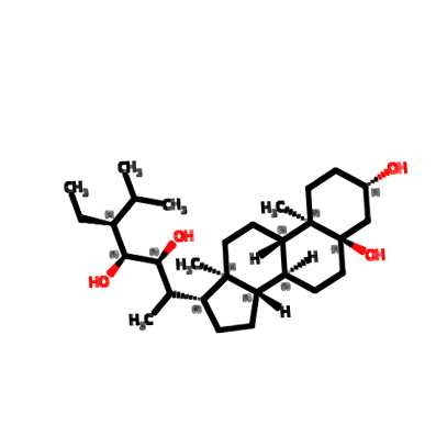 CC[C@@H](C(C)C)[C@H](O)[C@@H](O)C(C)[C@H]1CC[C@H]2[C@@H]3CC[C@@]4(O)C[C@@H](O)CC[C@]4(C)[C@H]3CC[C@]12C